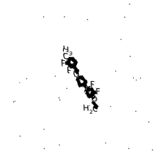 C=CCOc1ccc(C2CCC(OCc3ccc(C)c(F)c3F)CC2)c(F)c1F